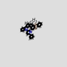 CC1(C)c2ccc3c4ccccc4n(-c4ccc(-c5ccccc5)nc4)c3c2-c2ccc3c(c21)Sc1ccccc1S3